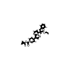 CCOC(=O)C(C)(Cc1ccccc1)c1ccnc2c(C3CCN(C(=O)OC4(C)CC4)CC3)cnn12